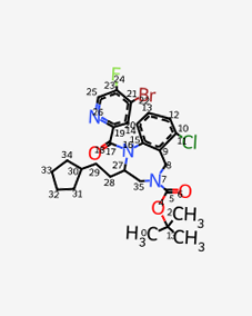 CC(C)(C)OC(=O)N1Cc2c(Cl)cccc2N(C(=O)c2cc(Br)c(F)cn2)C(CCC2CCCC2)C1